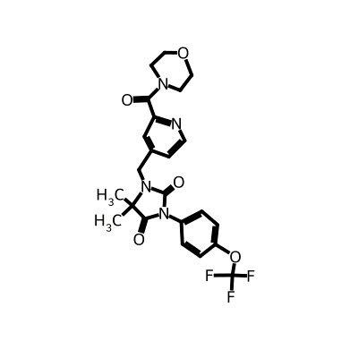 CC1(C)C(=O)N(c2ccc(OC(F)(F)F)cc2)C(=O)N1Cc1ccnc(C(=O)N2CCOCC2)c1